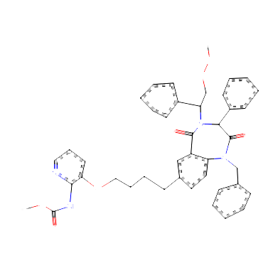 CCOOCC(c1ccccc1)N1C(=O)c2cc(CCCCOc3cccnc3NC(=O)OC(C)(C)C)ccc2N(Cc2ccccc2)C(=O)C1c1ccccc1